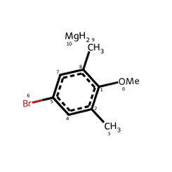 COc1c(C)cc(Br)cc1C.[MgH2]